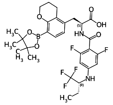 CC[C@@H](Nc1cc(F)c(C(=O)N[C@@H](Cc2ccc(B3OC(C)(C)C(C)(C)O3)c3c2CCCO3)C(=O)O)c(F)c1)C(F)(F)F